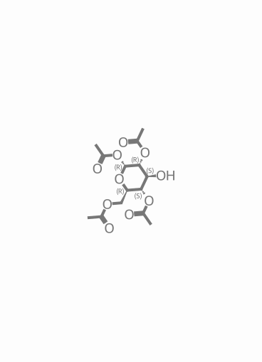 CC(=O)OC[C@H]1O[C@H](OC(C)=O)[C@H](OC(C)=O)[C@@H](O)[C@@H]1OC(C)=O